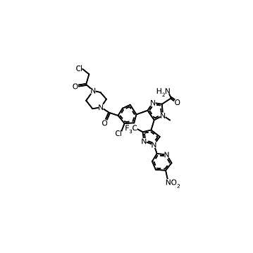 Cn1c(C(N)=O)nc(-c2ccc(C(=O)N3CCN(C(=O)CCl)CC3)c(Cl)c2)c1-c1cn(-c2ccc([N+](=O)[O-])cn2)nc1C(F)(F)F